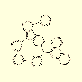 c1ccc(-c2cccc(N(c3ccc4c5c(-c6ccccc6)cccc5n(-c5ccccc5)c4c3)c3cc4ccccc4c4ccccc34)c2)cc1